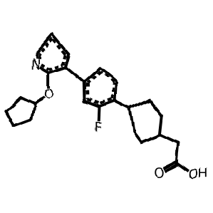 O=C(O)CC1CCC(c2ccc(-c3cccnc3OC3CCCC3)cc2F)CC1